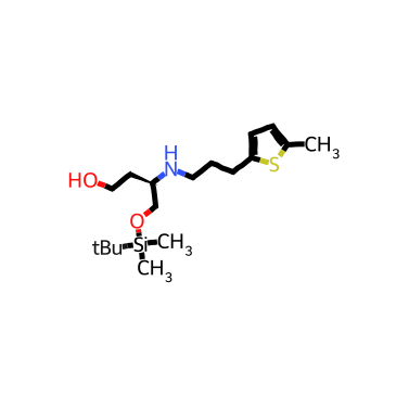 Cc1ccc(CCCN[C@H](CCO)CO[Si](C)(C)C(C)(C)C)s1